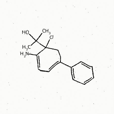 CC(C)(O)C1(Cl)CC(c2ccccc2)=CC=C1N